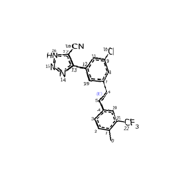 Cc1ccc(/C=C/c2cc(Cl)cc(-c3nn[nH]c3C#N)c2)cc1C(F)(F)F